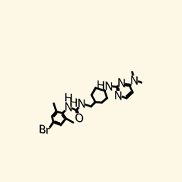 Cc1cc(Br)cc(C)c1NC(=O)NCC1CCC(Nc2nccc(N(C)C)n2)CC1